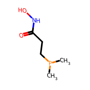 CP(C)CCC(=O)NO